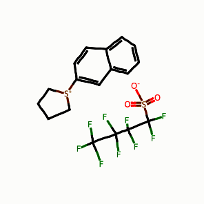 O=S(=O)([O-])C(F)(F)C(F)(F)C(F)(F)C(F)(F)F.c1ccc2cc([S+]3CCCC3)ccc2c1